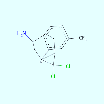 NC1CCC2C(Cl)(Cl)[C@@]2(c2cccc(C(F)(F)F)c2)C1